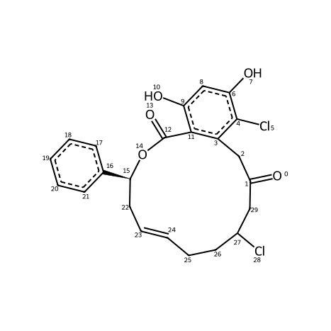 O=C1Cc2c(Cl)c(O)cc(O)c2C(=O)O[C@H](c2ccccc2)C/C=C/CCC(Cl)C1